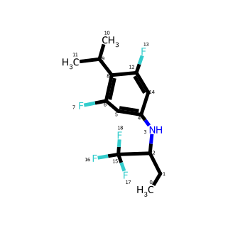 CCC(Nc1cc(F)c(C(C)C)c(F)c1)C(F)(F)F